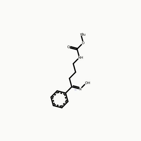 CC(C)(C)OC(=O)NCCC/C(=N\O)c1ccccc1